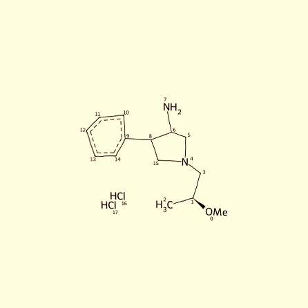 CO[C@@H](C)CN1CC(N)C(c2ccccc2)C1.Cl.Cl